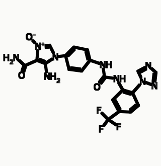 NC(=O)c1c(N)n(-c2ccc(NC(=O)Nc3cc(C(F)(F)F)ccc3-n3cncn3)cc2)c[n+]1[O-]